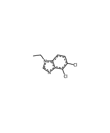 CCn1cnc2c(Cl)c(Cl)ccc21